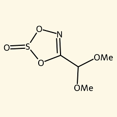 COC(OC)C1=NOS(=O)O1